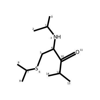 CC(C)NC(CSC(C)C)C(=O)C(C)C